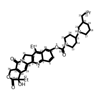 CCc1c2c(nc3ccc(OC(=O)N4CCC(N5CCCC(CC(C)C)C5)CC4)cc13)-c1cc3c(c(=O)n1C2)COC(=O)C3(O)CC